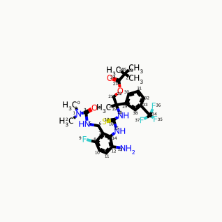 CN(C)C(=O)NCc1c(F)ccc(N)c1NC(=S)NC(C)(COC(=O)C(C)(C)C)c1cccc(C(F)(F)F)c1